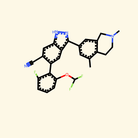 Cc1cc(-c2n[nH]c3cc(C#N)c(-c4c(F)cccc4OC(F)F)cc23)cc2c1CCN(C)C2